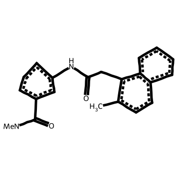 CNC(=O)c1cccc(NC(=O)Cc2c(C)ccc3ccccc23)c1